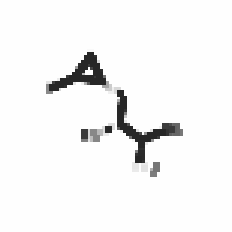 C[C@@H](C(=O)O)[C@H](O)C[C@H]1CC1I